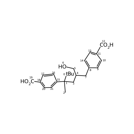 CC(C)(C)C(C)(CC(CO)Cc1ccc(C(=O)O)cc1)c1ccc(C(=O)O)cc1